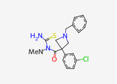 CNN(C(=O)C1(c2cccc(Cl)c2)CN(Cc2ccccc2)C1)C(N)=S